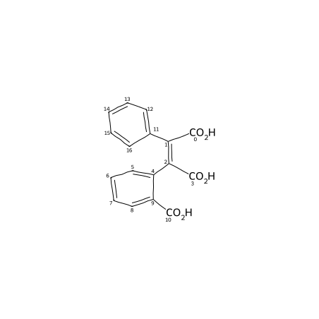 O=C(O)C(=C(C(=O)O)c1ccccc1C(=O)O)c1ccccc1